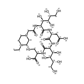 CCN1CCN(CC(=O)N[C@H](C(=O)N[C@@H](CC(=O)O)C(=O)N[C@H](C(=O)NC(CS)C(=O)O)[C@@H](O)[C@H](O)[C@H](O)CO)[C@@H](O)[C@H](O)[C@H](O)CO)CC1